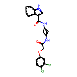 O=C(COc1ccc(Cl)c(F)c1)NC12CC(NC(=O)c3c[nH]c4ccccc34)(C1)C2